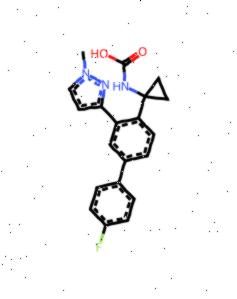 Cn1ccc(-c2cc(-c3ccc(F)cc3)ccc2C2(NC(=O)O)CC2)n1